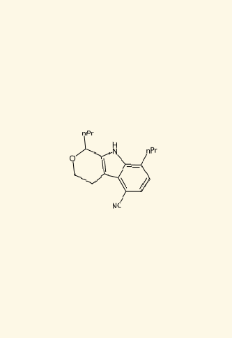 CCCc1ccc(C#N)c2c3c([nH]c12)C(CCC)OCC3